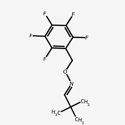 CC(C)(C)C=NOCc1c(F)c(F)c(F)c(F)c1F